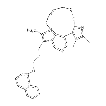 Cc1c2c(nn1C)COC/C=C\Cn1c(C(=O)O)c(CCCOc3cccc4ccccc34)c3cccc-2c31